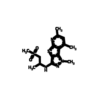 Cc1cc(C)c2c(n1)sc1c(NC(C)CS(C)(=O)=O)nn(C)c12